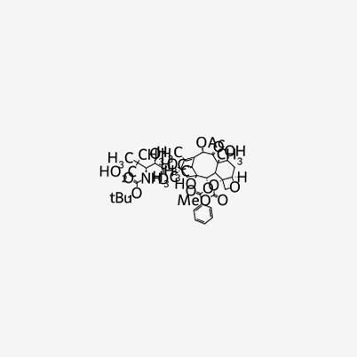 COC(=O)O[C@@]12CO[C@@H]1C[C@H](O)[C@@]1(C)C(=O)[C@H](OC(C)=O)C3=C(C)[C@](C)(OC(=O)[C@H](O)[C@@H](NC(=O)OC(C)(C)C)C(C)(C)C(=O)O)C[C@@](O)([C@@H](OC(=O)c4ccccc4)C12)C3(C)C